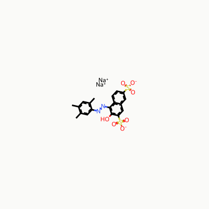 Cc1cc(C)c(N=Nc2c(O)c(S(=O)(=O)[O-])cc3cc(S(=O)(=O)[O-])ccc23)cc1C.[Na+].[Na+]